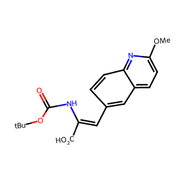 COc1ccc2cc(C=C(NC(=O)OC(C)(C)C)C(=O)O)ccc2n1